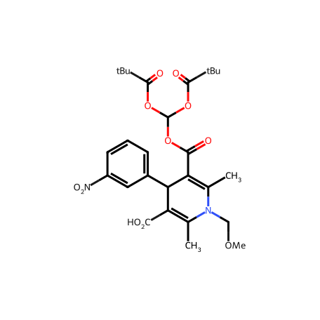 COCN1C(C)=C(C(=O)O)C(c2cccc([N+](=O)[O-])c2)C(C(=O)OC(OC(=O)C(C)(C)C)OC(=O)C(C)(C)C)=C1C